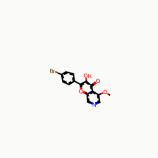 COc1cncc2oc(-c3ccc(Br)cc3)c(O)c(=O)c12